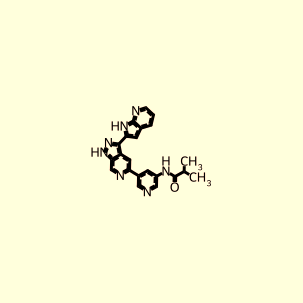 CC(C)C(=O)Nc1cncc(-c2cc3c(-c4cc5cccnc5[nH]4)n[nH]c3cn2)c1